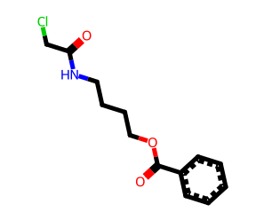 O=C(CCl)NCCCCOC(=O)c1ccccc1